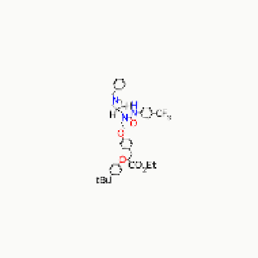 CCOC(=O)[C@H](Cc1ccc(OCCN(C(=O)Nc2ccc(C(F)(F)F)cc2)[C@H]2[C@@H]3CN(Cc4ccccc4)C[C@@H]32)cc1)Oc1ccc(C(C)(C)C)cc1